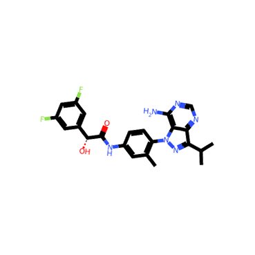 Cc1cc(NC(=O)[C@H](O)c2cc(F)cc(F)c2)ccc1-n1nc(C(C)C)c2ncnc(N)c21